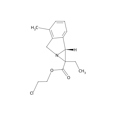 CCC1(C(=O)OCCCl)[C@H]2c3cccc(C)c3CN21